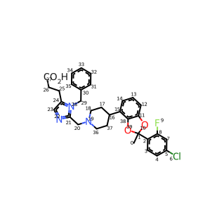 CC1(c2ccc(Cl)cc2F)Oc2cccc(C3CCN(Cc4ncc(CCC(=O)O)n4Cc4ccccc4)CC3)c2O1